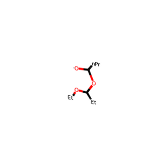 CCCC([O])OC(CC)OCC